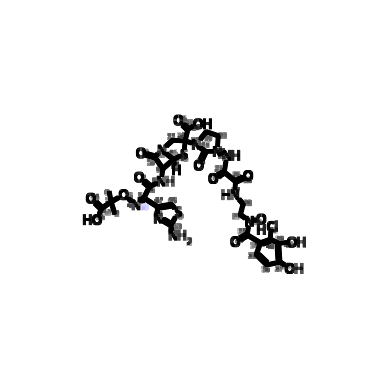 CC(C)(O/N=C(\C(=O)NC1C(=O)N2CC(C(=O)O)(N3CCN(NC(=O)C(=O)NCCN(O)C(=O)c4ccc(O)c(O)c4Cl)C3=O)S[C@H]12)c1csc(N)n1)C(=O)O